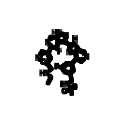 CCNCc1cncc(-c2ncc3[nH]nc(-c4nc5c(-c6cc(F)cc(CNS(C)(=O)=O)c6)cncc5[nH]4)c3c2F)c1